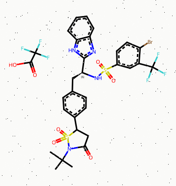 CC(C)(C)N1C(=O)CC(c2ccc(C[C@H](NS(=O)(=O)c3ccc(Br)c(C(F)(F)F)c3)c3nc4ccccc4[nH]3)cc2)S1(=O)=O.O=C(O)C(F)(F)F